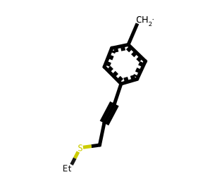 [CH2]c1ccc(C#CCSCC)cc1